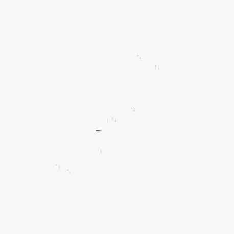 Cc1cc(C[C@H](CO)NC(=O)N2CCC3(CC2)OC(=O)Nc2ncccc23)cc2cn[nH]c12